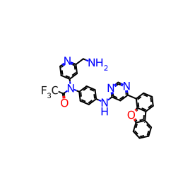 NCc1cc(N(C(=O)C(F)(F)F)c2ccc(Nc3cc(-c4cccc5c4oc4ccccc45)ncn3)cc2)ccn1